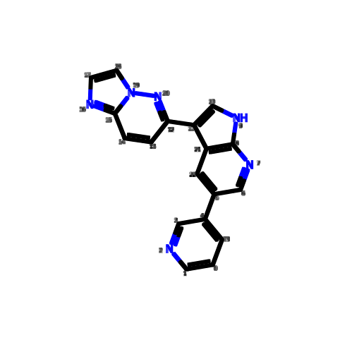 c1cncc(-c2cnc3[nH]cc(-c4ccc5nccn5n4)c3c2)c1